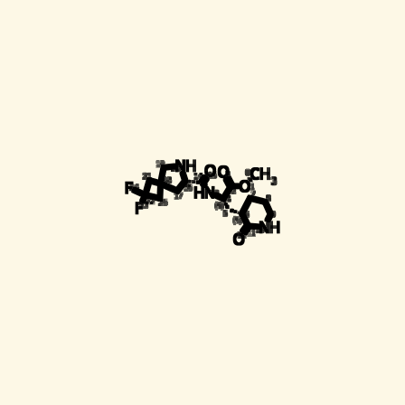 COC(=O)[C@H](C[C@@H]1CCCNC1=O)NC(=O)[C@@H]1CC2(CN1)CC(F)(F)C2